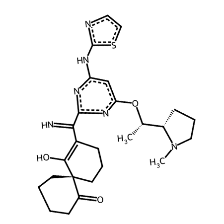 C[C@H](Oc1cc(Nc2nccs2)nc(C(=N)C2=C(O)[C@]3(CCCCC3=O)CCC2)n1)[C@@H]1CCCN1C